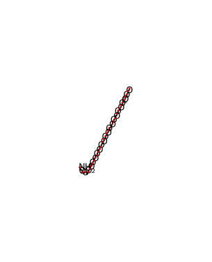 COCCOCCOCCOCCOCCOCCOCCOCCOCCOCCOCCOCCOCCOCCOCCOCCOCCOCCOCCOCC(C)OCC(C)OCC(C)N